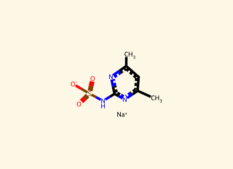 Cc1cc(C)nc(NS(=O)(=O)[O-])n1.[Na+]